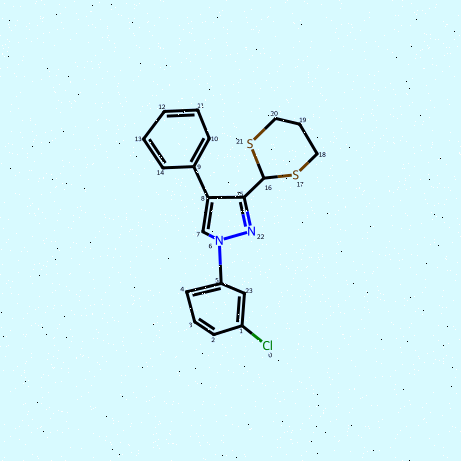 Clc1cccc(-n2cc(-c3ccccc3)c(C3SCCCS3)n2)c1